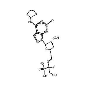 O=P(O)(O)C(F)(CO)OC[C@@H]1C[C@@H](O)[C@H](n2ncc3c(NC4CCCC4)nc(Cl)nc32)O1